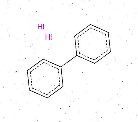 I.I.c1ccc(-c2ccccc2)cc1